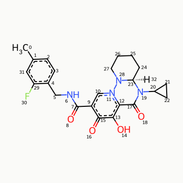 Cc1ccc(CNC(=O)c2cn3c(c(O)c2=O)C(=O)N(C2CC2)[C@@H]2CCCCN23)c(F)c1